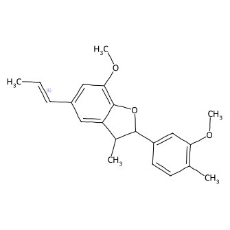 C/C=C/c1cc(OC)c2c(c1)C(C)C(c1ccc(C)c(OC)c1)O2